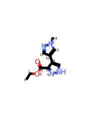 CCOC(=O)c1n[nH]cc1-c1cnn(C)c1